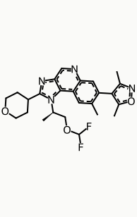 Cc1cc2c(cc1-c1c(C)noc1C)ncc1nc(C3CCOCC3)n([C@H](C)COC(F)F)c12